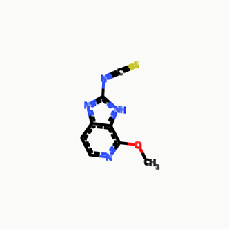 COc1nccc2nc(N=C=S)[nH]c12